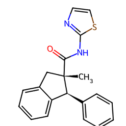 C[C@]1(C(=O)Nc2nccs2)Cc2ccccc2[C@@H]1c1ccccc1